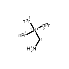 CCC[N+](CN)(CCC)CCC